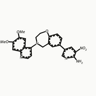 COc1cc2nccc(N3CCOc4ccc(-c5cnc(N)c([N+](=O)[O-])c5)cc4C3)c2cc1OC